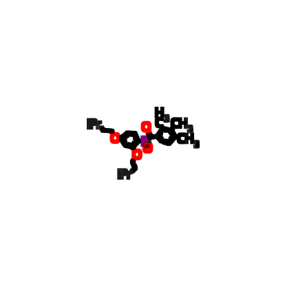 Cc1ccc(C(=O)[P](=O)c2ccc(OCCC(C)C)cc2OCCC(C)C)c(C)c1C